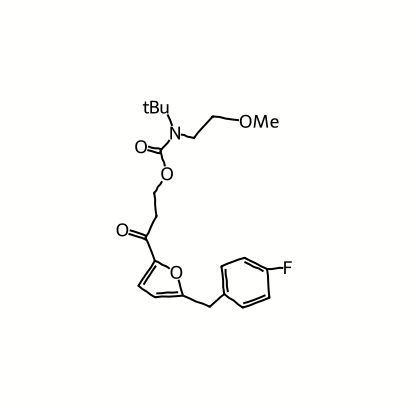 COCCN(C(=O)OCCC(=O)c1ccc(Cc2ccc(F)cc2)o1)C(C)(C)C